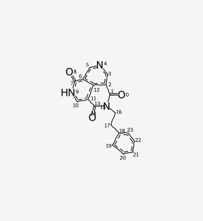 O=C1c2cncc3c(=O)[nH]cc(c23)C(=O)N1CCc1ccccc1